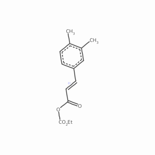 CCOC(=O)OC(=O)/C=C/c1ccc(C)c(C)c1